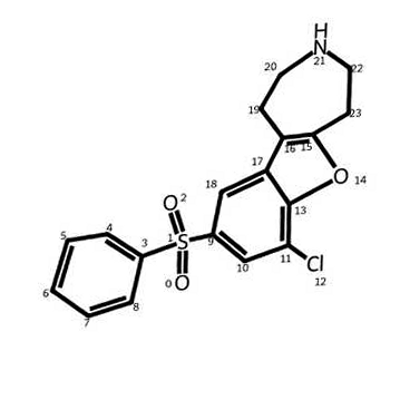 O=S(=O)(c1ccccc1)c1cc(Cl)c2oc3c(c2c1)CCNCC3